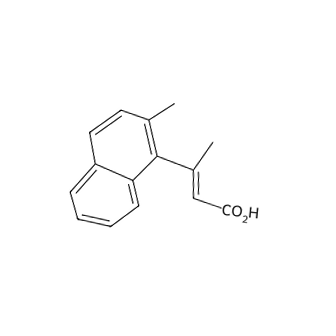 CC(=CC(=O)O)c1c(C)ccc2ccccc12